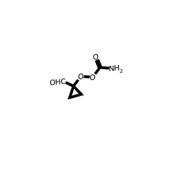 NC(=O)OOC1(C=O)CC1